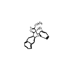 COC(=O)[C@](N)(Cc1ccccc1)C(=O)c1cc2ccccc2cc1O